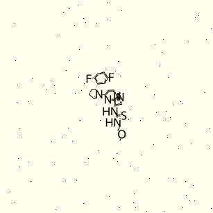 COCCNC(=S)Nc1cnn2ccc(N3CCC[C@@H]3c3cc(F)ccc3F)nc12